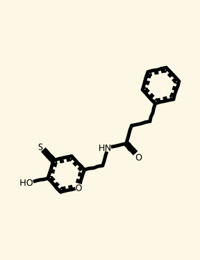 O=C(CCc1ccccc1)NCc1cc(=S)c(O)co1